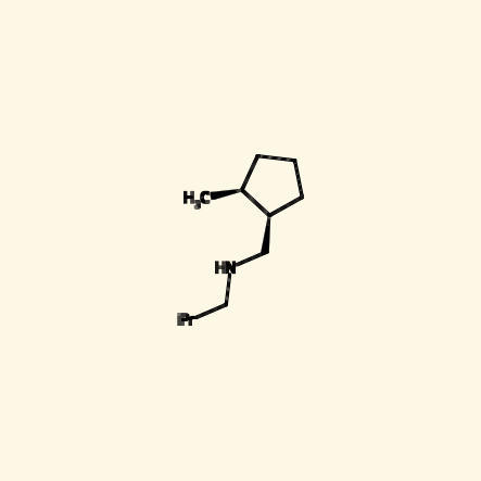 CC(C)CNC[C@@H]1CCC[C@@H]1C